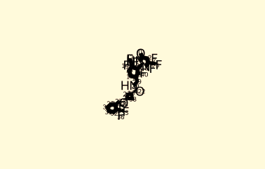 O=c1cc(C(F)(F)F)nc(-c2c(C(F)(F)F)ccc(CNC(=O)[C@H]3C[C@@H](OCc4ccccc4C(F)(F)F)C3)c2F)[nH]1